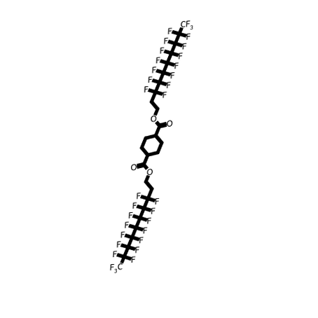 O=C(OCCC(F)(F)C(F)(F)C(F)(F)C(F)(F)C(F)(F)C(F)(F)C(F)(F)C(F)(F)F)C1CCC(C(=O)OCCC(F)(F)C(F)(F)C(F)(F)C(F)(F)C(F)(F)C(F)(F)C(F)(F)C(F)(F)F)CC1